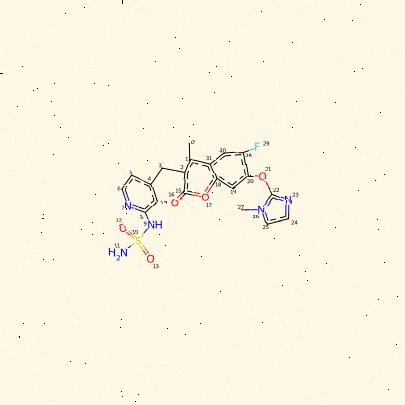 Cc1c(Cc2ccnc(NS(N)(=O)=O)c2)c(=O)oc2cc(Oc3nccn3C)c(F)cc12